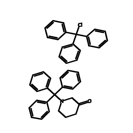 ClC(c1ccccc1)(c1ccccc1)c1ccccc1.O=C1CCCN(C(c2ccccc2)(c2ccccc2)c2ccccc2)C1